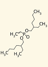 C=CP(=O)(OCC(CC)CCCC)OCC(CC)CCCC